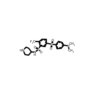 CN(C)c1ccc(S(=O)(=O)c2ccc(C(F)(F)F)c(S(=O)(=O)NC3CCNCC3)c2)cc1